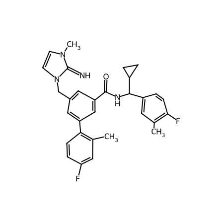 Cc1cc(C(NC(=O)c2cc(Cn3ccn(C)c3=N)cc(-c3ccc(F)cc3C)c2)C2CC2)ccc1F